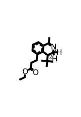 [2H]C1([2H])N=C(C)c2cccc(CCC(=O)OCC)c2C1C(C)(C)C